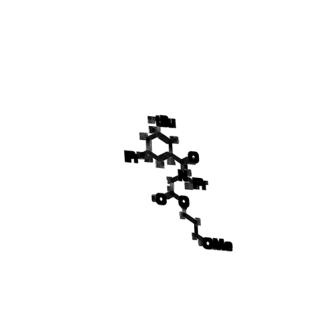 COCCCOC(=O)CN(C(=O)c1cc(C(C)C)cc(C(C)(C)C)c1)C(C)C